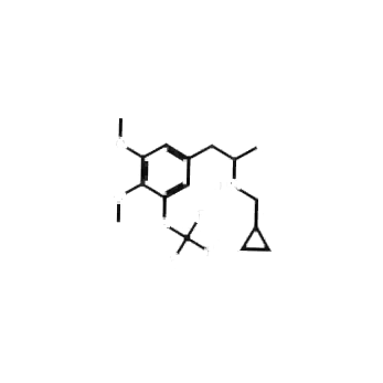 COc1cc(CC(C)NCC2CC2)cc(SC(F)(F)F)c1OC